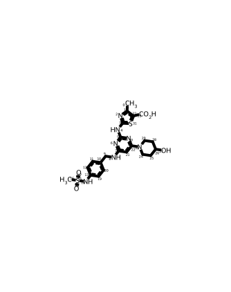 Cc1nc(Nc2nc(NCc3ccc(NS(C)(=O)=O)cc3)cc(N3CCC(O)CC3)n2)sc1C(=O)O